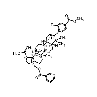 C=C(C)[C@@H]1CC[C@]2(COC(=O)c3ccccc3)CC[C@]3(C)[C@H](CC[C@@H]4[C@@]5(C)CC=C(c6ccc(C(=O)OC)cc6F)C(C)(C)[C@@H]5CC[C@]43C)[C@@H]12